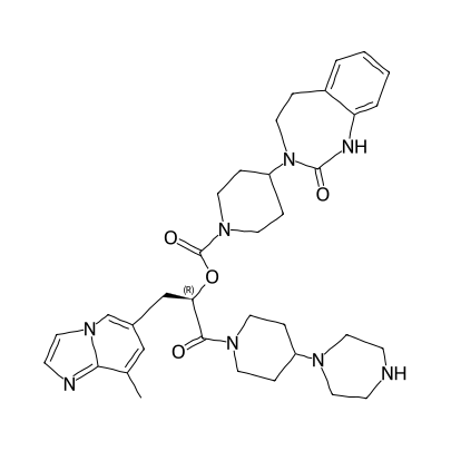 Cc1cc(C[C@@H](OC(=O)N2CCC(N3CCc4ccccc4NC3=O)CC2)C(=O)N2CCC(N3CCNCC3)CC2)cn2ccnc12